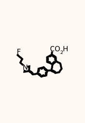 O=C(O)c1ccc2c(c1)CCCC=C2c1ccc(C=C2CN(CCCF)C2)cc1